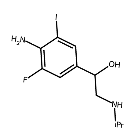 CC(C)NCC(O)c1cc(F)c(N)c(I)c1